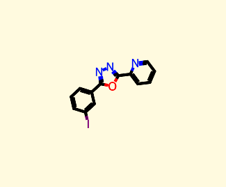 Ic1cccc(-c2nnc(-c3ccccn3)o2)c1